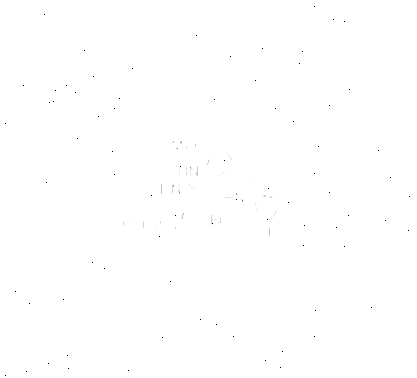 COc1ccc(-c2cc3cc(F)c(F)cc3[nH]2)cc1NC(=S)NC(COC(C)(C)C)C(=O)OC(C)(C)C